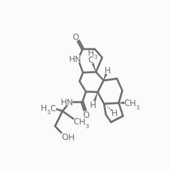 CC(C)(CO)NC(=O)C1CC2NC(=O)CC[C@]2(C)[C@@H]2CC[C@]3(C)CCC[C@H]3[C@H]12